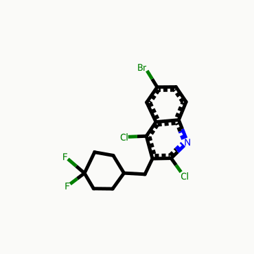 FC1(F)CCC(Cc2c(Cl)nc3ccc(Br)cc3c2Cl)CC1